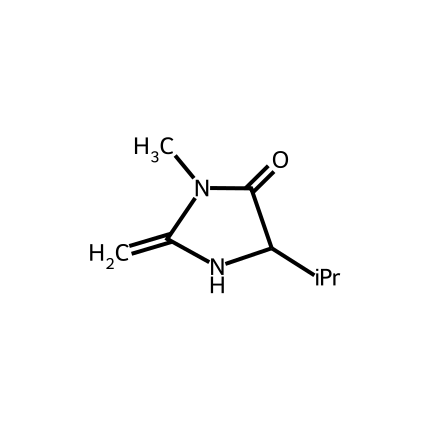 C=C1NC(C(C)C)C(=O)N1C